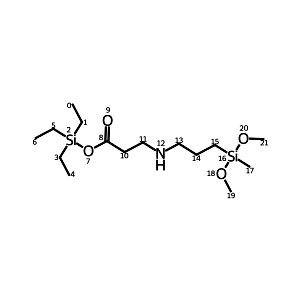 CC[Si](CC)(CC)OC(=O)CCNCCC[Si](C)(OC)OC